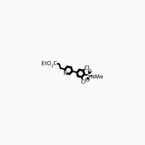 CCOC(=O)CCc1ccc(-c2cc(Cl)c(S(=O)(=O)NC)c(Cl)c2)cn1